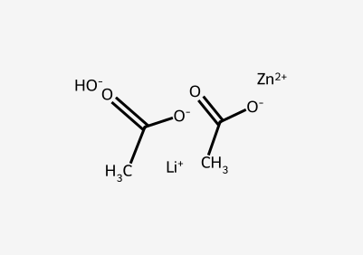 CC(=O)[O-].CC(=O)[O-].[Li+].[OH-].[Zn+2]